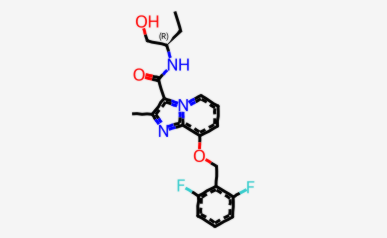 CC[C@H](CO)NC(=O)c1c(C)nc2c(OCc3c(F)cccc3F)cccn12